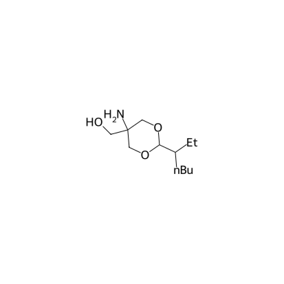 CCCCC(CC)C1OCC(N)(CO)CO1